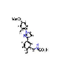 COc1ccc(-n2ccc(-c3ccc(C)c(CNC(=O)O)c3)n2)c(C)c1